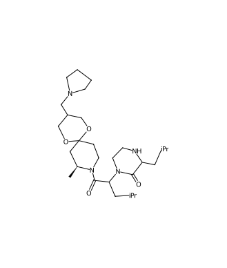 CC(C)CC1NCCN(C(CC(C)C)C(=O)N2CCC3(C[C@@H]2C)OCC(CN2CCCC2)CO3)C1=O